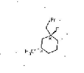 CC(C)C[C@]1(F)CCC[C@H](C)C1